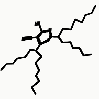 CCCCCCCC(CCCCCC)c1cc(C(CCCCCC)CCCCCCC)c(C#N)c(S)n1